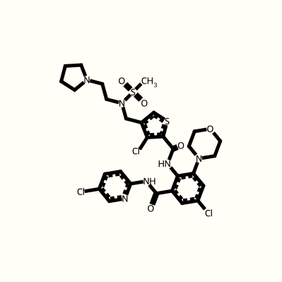 CS(=O)(=O)N(CCN1CCCC1)Cc1csc(C(=O)Nc2c(C(=O)Nc3ccc(Cl)cn3)cc(Cl)cc2N2CCOCC2)c1Cl